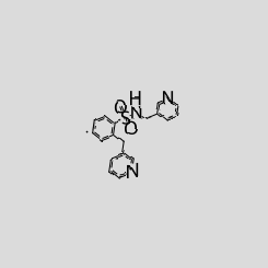 O=S(=O)(NCc1cccnc1)c1cc[c]cc1Cc1cccnc1